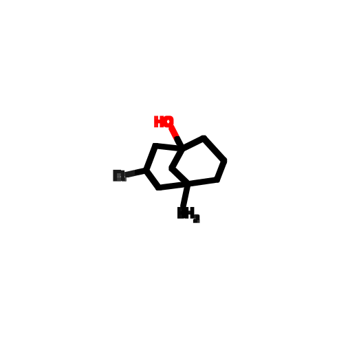 BC12CCCC(O)(CC(CC)C1)C2